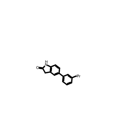 CC(C)c1cccc(-c2ccc3c(c2)CC(=O)N3)c1